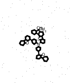 CC1(C)c2ccccc2-c2c1ccc1c2sc2c(N(c3ccc(-c4cccc5c4oc4ccccc45)cc3)c3ccc(-c4cccc5c4oc4ccccc45)cc3)cccc21